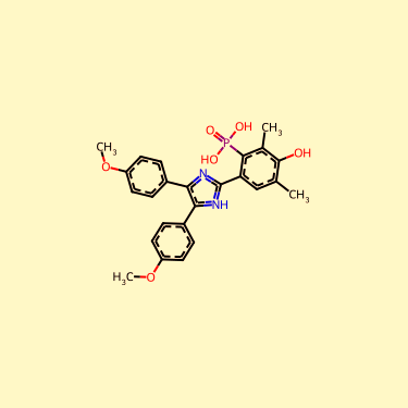 COc1ccc(-c2nc(-c3cc(C)c(O)c(C)c3P(=O)(O)O)[nH]c2-c2ccc(OC)cc2)cc1